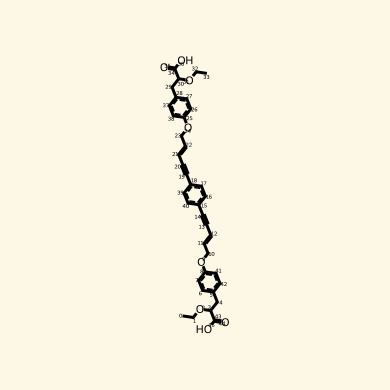 CCOC(Cc1ccc(OCC=CC#Cc2ccc(C#CC=CCOc3ccc(CC(OCC)C(=O)O)cc3)cc2)cc1)C(=O)O